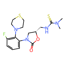 CN(C)C(=S)NC[C@H]1CN(c2cccc(F)c2N2CCSCC2)C(=O)O1